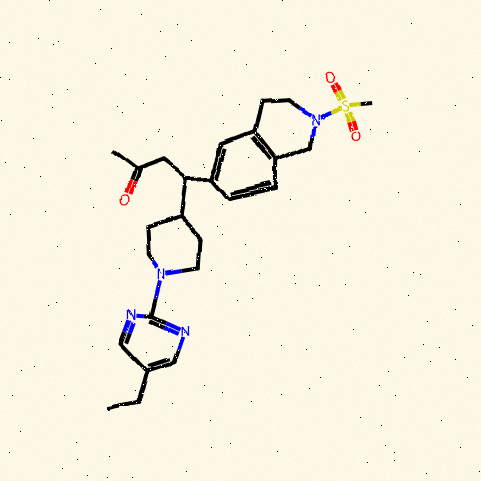 CCc1cnc(N2CCC(C(CC(C)=O)c3ccc4c(c3)CCN(S(C)(=O)=O)C4)CC2)nc1